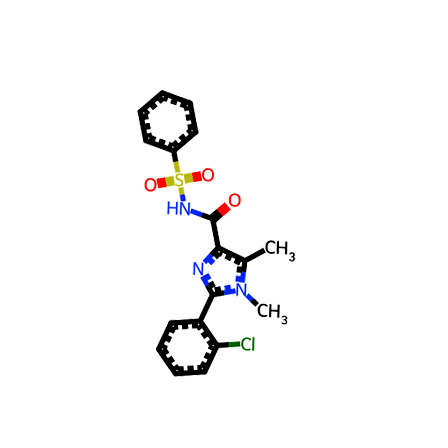 Cc1c(C(=O)NS(=O)(=O)c2ccccc2)nc(-c2ccccc2Cl)n1C